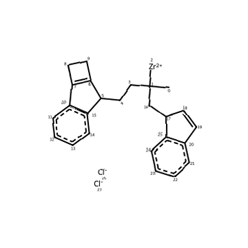 C[C]([Zr+2])(CCC1C2=C(CC2)c2ccccc21)CC1C=Cc2ccccc21.[Cl-].[Cl-]